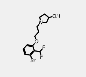 OC1CCN(CCCOc2cccc(Br)c2C(F)F)C1